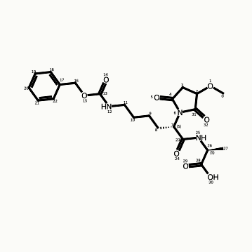 COC1CC(=O)N([C@@H](CCCCNC(=O)OCc2ccccc2)C(=O)N[C@@H](C)C(=O)O)C1=O